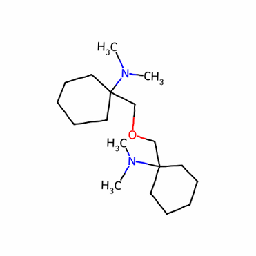 CN(C)C1(COCC2(N(C)C)CCCCC2)CCCCC1